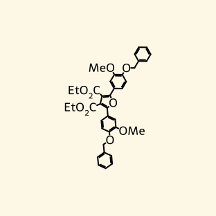 CCOC(=O)c1c(-c2ccc(OCc3ccccc3)c(OC)c2)oc(-c2ccc(OCc3ccccc3)c(OC)c2)c1C(=O)OCC